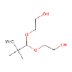 COC(C)(C)C(OCCO)OCCO